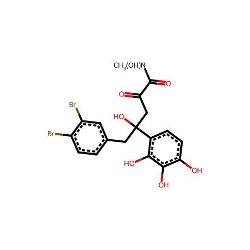 CN(O)C(=O)C(=O)CC(O)(Cc1ccc(Br)c(Br)c1)c1ccc(O)c(O)c1O